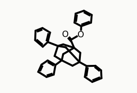 O=C(Oc1ccccc1)C12CC3(c4ccccc4)CC(c4ccccc4)(C1)CC(c1ccccc1)(C2)C3